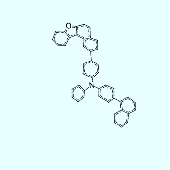 c1ccc(N(c2ccc(-c3ccc4ccc5oc6ccccc6c5c4c3)cc2)c2ccc(-c3cccc4ccccc34)cc2)cc1